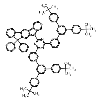 CC(C)(C)c1ccc(-c2cc(-c3ccc(C(C)(C)C)cc3)cc(-c3cccc(-c4nc(-c5cccc(-c6cc(-c7ccc(C(C)(C)C)cc7)cc(-c7ccc(C(C)(C)C)cc7)c6)c5)nc(-n5c6ccccc6c6cc7c(cc65)C(c5ccccc5)(c5ccccc5)c5ccccc5-7)n4)c3)c2)cc1